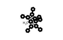 Cc1cc(S(c2ccc(-c3ccccc3)cc2)(c2ccc(-c3ccccc3)cc2)c2ccc(-c3ccccc3)cc2)cc(S(c2ccc(-c3ccccc3)cc2)(c2ccc(-c3ccccc3)cc2)c2ccc(-c3ccccc3)cc2)c1